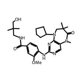 COc1cc(C(=O)NCC(C)(C)CO)ccc1Nc1ncc2c(n1)N(C1CCCC1)CC(C)(C)C(=O)N2C